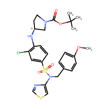 COc1ccc(CN(c2cscn2)S(=O)(=O)c2ccc(N[C@H]3CCN(C(=O)OC(C)(C)C)C3)c(Cl)c2)cc1